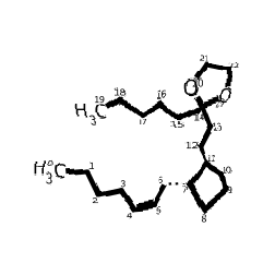 CCCC/C=C\C[C@H]1CCC[C@@H]1CCC1(CCCCC)OCCO1